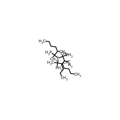 CCCCC(C)C(C)(P)P(C(C)(P)C(C)CCCC)C(C)(P)C(C)CCCC